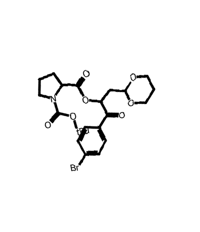 CC(C)(C)OC(=O)N1CCCC1C(=O)OC(CC1OCCCO1)C(=O)c1ccc(Br)cc1